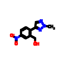 Cn1ncc(-c2ccc([N+](=O)[O-])cc2CO)n1